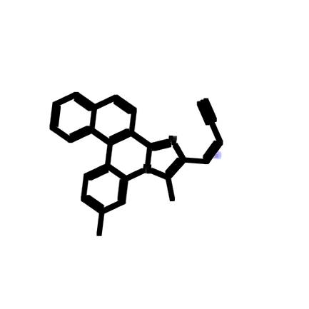 C#C/C=C\c1nc2c3ccc4ccccc4c3c3ccc(C)cc3n2c1C